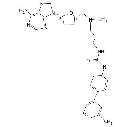 Cc1cccc(-c2ccc(NC(=O)NCCCN(C)C[C@@H]3CC[C@H](n4cnc5c(N)ncnc54)O3)cc2)c1